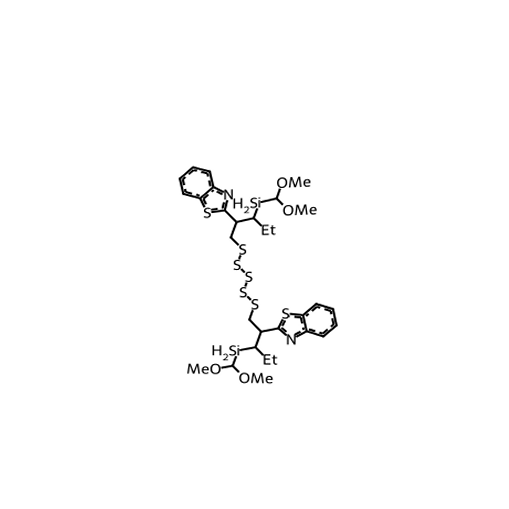 CCC([SiH2]C(OC)OC)C(CSSSSSCC(c1nc2ccccc2s1)C(CC)[SiH2]C(OC)OC)c1nc2ccccc2s1